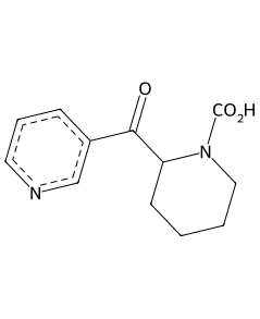 O=C(c1cccnc1)C1CCCCN1C(=O)O